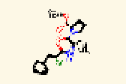 C[C@H](NC(=O)[C@H](Br)Cc1ccccc1)C(=O)N1CCC[C@H]1C(=O)OC(C)(C)C